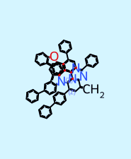 C=C(/C=C(\C(=C\c1ccc(-c2ccccc2)cc1)n1c2ccccc2c2cc(-c3ccccc3)ccc21)c1ccc(-c2ccccc2)cc1)c1nc(-c2ccccc2)nc(-c2ccc3c(c2)oc2ccccc23)n1